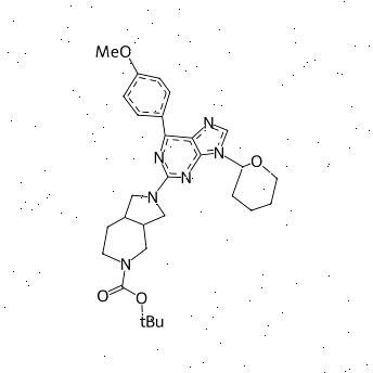 COc1ccc(-c2nc(N3CC4CCN(C(=O)OC(C)(C)C)CC4C3)nc3c2ncn3C2CCCCO2)cc1